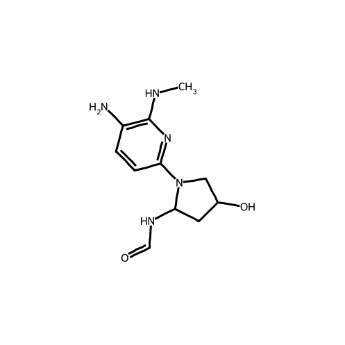 CNc1nc(N2CC(O)CC2NC=O)ccc1N